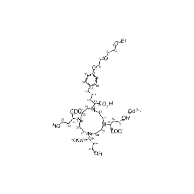 CCOCCOCCOc1ccc(CCC[C@@H](C(=O)O)N2CCN(C(CCO)C(=O)[O-])CCN(C(CCO)C(=O)[O-])CCN(C(CCO)C(=O)[O-])CC2)cc1.[Gd+3]